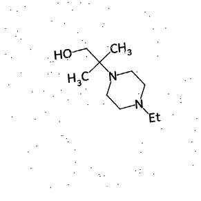 CCN1CCN(C(C)(C)CO)CC1